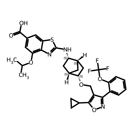 CC(C)Oc1cc(C(=O)O)cc2sc(N[C@H]3C[C@@H]4C[C@H]3C[C@@H]4OCc3c(-c4ccccc4OC(F)(F)F)noc3C3CC3)nc12